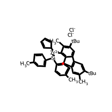 Cc1ccc([Si](c2ccc(C)cc2)=[Zr+2]([c]2c(C)c(C(C)(C)C)cc3c2Cc2cc(C)c(C(C)(C)C)cc2-3)[CH]2C=CC=C2)cc1.[Cl-].[Cl-]